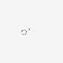 CCc1cnccc1C(=O)OCCO